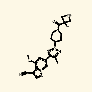 COc1cc(-c2nn(C3CCN(C(=O)C4(F)CNC4)CC3)nc2C)cn2ncc(C#N)c12